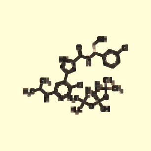 CC(C)(C)OP(=O)(O)OC(C)(C)C.CC(C)Nc1cc(-c2c[nH]c(C(=O)N[C@H](CO)c3cccc(Cl)c3)c2)c(Cl)cn1